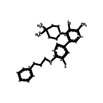 CCc1c(C)ncc(-c2cnc(OCCCc3ccccc3)c(F)c2)c1N1CCC(C)(C)CC1